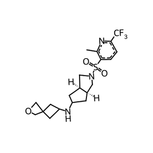 Cc1nc(C(F)(F)F)ccc1S(=O)(=O)N1C[C@H]2CC(NC3CC4(COC4)C3)C[C@H]2C1